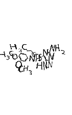 CCC[C@@H](CSc1nc(N)nc2nc[nH]c12)Nc1ccc(OC)c(OC)c1